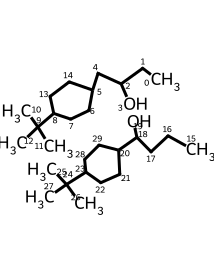 CCC(O)CC1CCC(C(C)(C)C)CC1.CCCC(O)C1CCC(C(C)(C)C)CC1